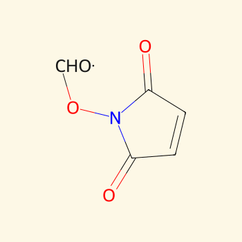 O=[C]ON1C(=O)C=CC1=O